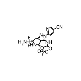 CS(=O)(=O)CC(=O)Nc1c2c(nn1-c1ccc(C#N)cn1)C[C@H](C(N)(F)F)NC2=O